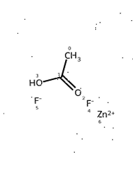 CC(=O)O.[F-].[F-].[Zn+2]